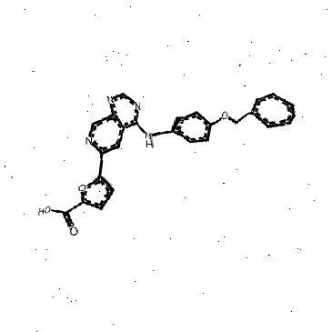 O=C(O)c1ccc(-c2cc3c(Nc4ccc(OCc5ccccc5)cc4)ncnc3cn2)o1